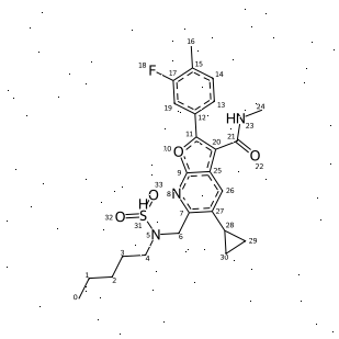 CCCCCN(Cc1nc2oc(-c3ccc(C)c(F)c3)c(C(=O)NC)c2cc1C1CC1)[SH](=O)=O